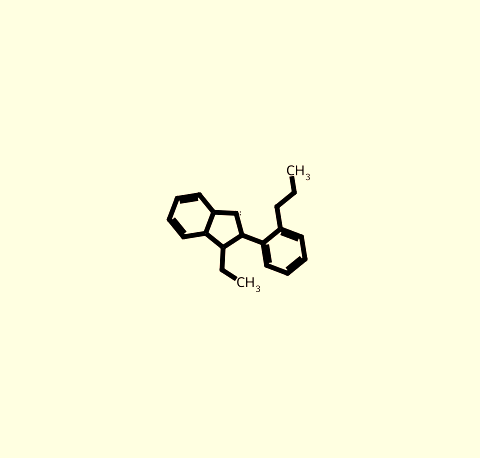 CCCc1ccccc1C1[C]C2C=CC=CC2C1CC